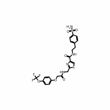 NS(=O)(=O)c1ccc(CCNC(=O)c2csc(CNC(=O)COc3ccc(OC(F)(F)F)cc3)n2)cc1